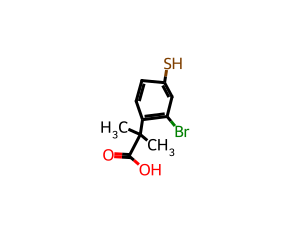 CC(C)(C(=O)O)c1ccc(S)cc1Br